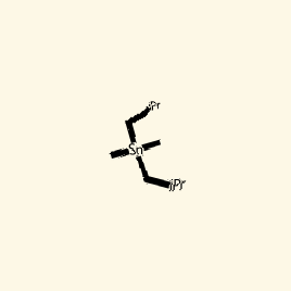 CC(C)[CH2][Sn]([CH3])([CH3])[CH2]C(C)C